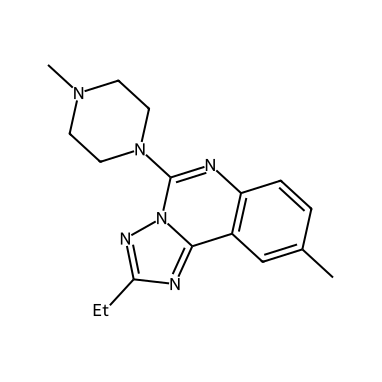 CCc1nc2c3cc(C)ccc3nc(N3CCN(C)CC3)n2n1